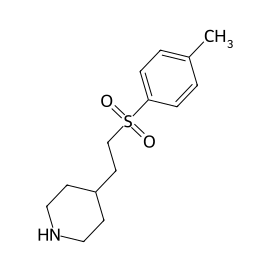 Cc1ccc(S(=O)(=O)CCC2CCNCC2)cc1